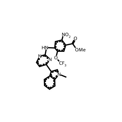 COC(=O)c1cc(OC(F)(F)F)c(Nc2nccc(-c3cn(C)c4ccccc34)n2)cc1[N+](=O)[O-]